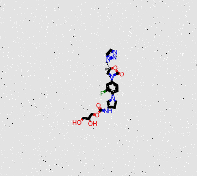 O=C(N[C@@H]1CCN(c2ccc(N3C[C@H](Cn4ccnn4)OC3=O)cc2F)C1)OC[C@H](O)CO